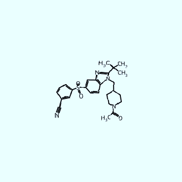 CC(=O)N1CCC(Cn2c(C(C)(C)C)nc3cc(S(=O)(=O)c4cccc(C#N)c4)ccc32)CC1